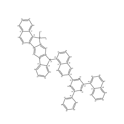 CC1(C)c2cc3c(cc2-c2ccc4ccccc4c21)c1ccccc1n3-c1cccc2cc(-c3nc(-c4ccccc4)nc(-c4cccc5ccccc45)n3)ccc12